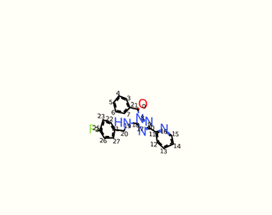 O=C(c1ccccc1)n1nc(-c2ccccn2)nc1NCc1ccc(F)cc1